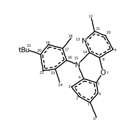 Cc1ccc2c(c1)Oc1ccc(C)nc1N2c1c(C)cc(C(C)(C)C)cc1C